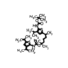 C=C(C)c1cc(C(=C)C)c(NC(=O)OC(C)(C)CCCC(C)c2cc(C(C)C)c(NC(=O)OC(C)(C)C)s2)s1